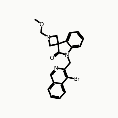 COCN1CC2(C1)C(=O)N(Cc1ncc3ccccc3c1Br)c1ccccc12